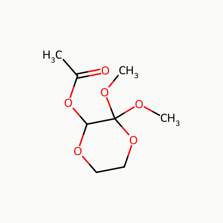 COC1(OC)OCCOC1OC(C)=O